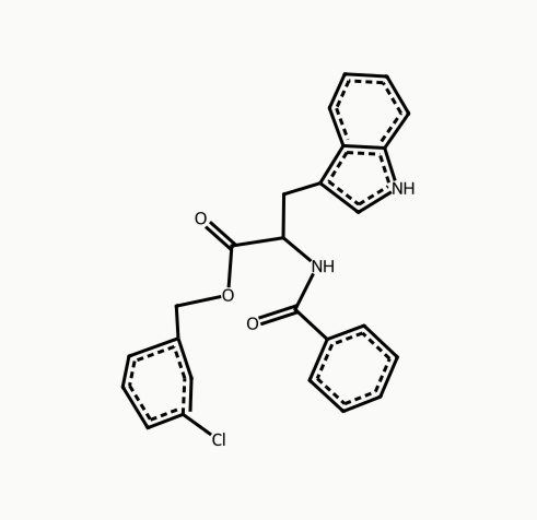 O=C(NC(Cc1c[nH]c2ccccc12)C(=O)OCc1cccc(Cl)c1)c1ccccc1